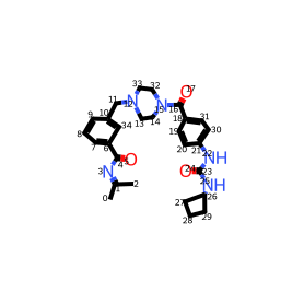 CC(C)=NC(=O)c1cccc(CN2CCN(C(=O)c3ccc(NC(=O)NC4CCC4)cc3)CC2)c1